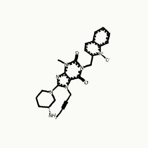 CC#CCn1c(N2CCC[C@@H](N)C2)nc2c1c(=O)n(Cc1ccc3ccccc3[n+]1[O-])c(=O)n2C